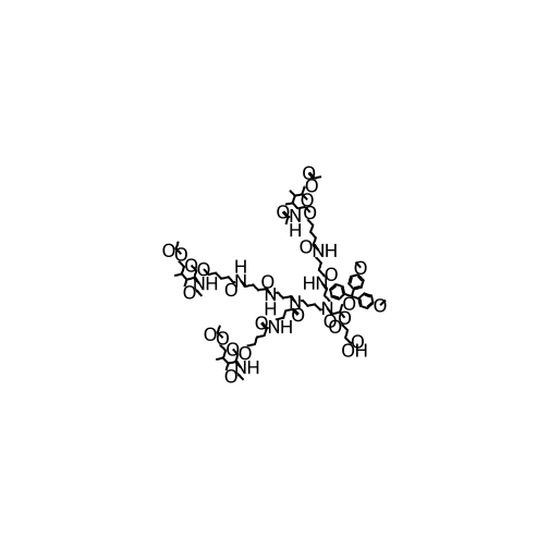 COc1ccc(C(OCC(OC(=O)CCC(=O)O)C(=O)N(CCCCN(CCCNC(=O)CCCNC(=O)CCCCOC2OC(COC(C)=O)C(C)C(C)C2NC(C)=O)C(=O)CCCNC(=O)CCCCOC2OC(COC(C)=O)C(C)C(C)C2NC(C)=O)CCCNC(=O)CCCNC(=O)CCCCOC2OC(COC(C)=O)C(C)C(C)C2NC(C)=O)(c2ccccc2)c2ccc(OC)cc2)cc1